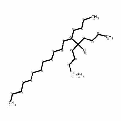 CCCCCCCCCCCCC(CCCC)C(Cl)(CCCC)CCCC.P